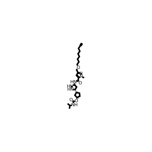 C#CCCCCCCCOCc1cc(C(=O)NC2CC([C@@H]3CC[C@H](OC(=O)NC(C)C)C3)NN2)n(C)n1